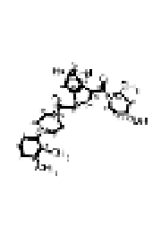 Cc1cccc(N2CCN(C(=O)Cn3nc(C(=O)N4CC[C@@H](O)C[C@H]4C)c4c3C[C@H]3C[C@@H]43)CC2)c1C